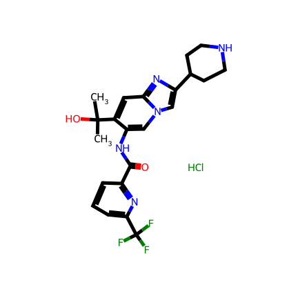 CC(C)(O)c1cc2nc(C3CCNCC3)cn2cc1NC(=O)c1cccc(C(F)(F)F)n1.Cl